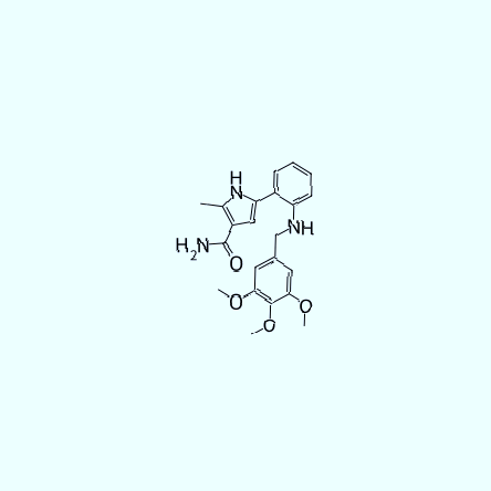 COc1cc(CNc2ccccc2-c2cc(C(N)=O)c(C)[nH]2)cc(OC)c1OC